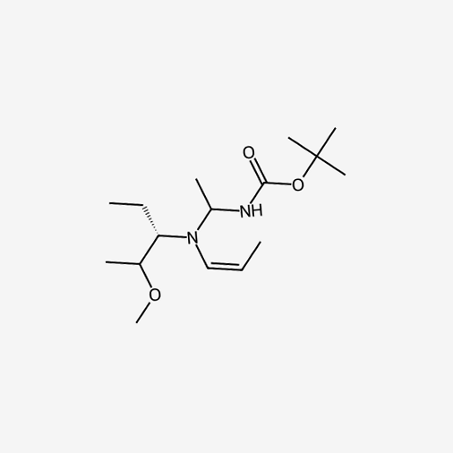 C/C=C\N(C(C)NC(=O)OC(C)(C)C)[C@@H](CC)C(C)OC